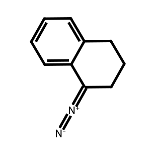 [N-]=[N+]=C1CCCc2ccccc21